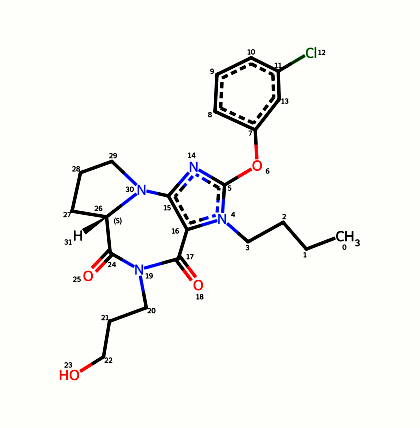 CCCCn1c(Oc2cccc(Cl)c2)nc2c1C(=O)N(CCCO)C(=O)[C@@H]1CCCN21